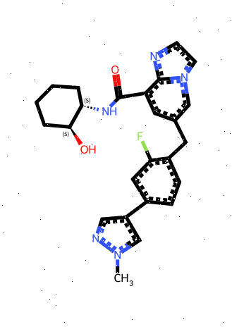 Cn1cc(-c2ccc(Cc3cc(C(=O)N[C@H]4CCCC[C@@H]4O)c4nccn4c3)c(F)c2)cn1